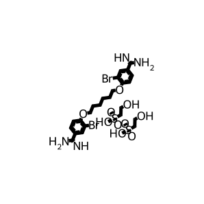 N=C(N)c1ccc(OCCCCCCOc2ccc(C(=N)N)cc2Br)c(Br)c1.O=S(=O)(O)CCO.O=S(=O)(O)CCO